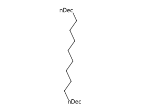 CCCC[CH]CCCCCCCCCCCCCCCCCCCCCCC